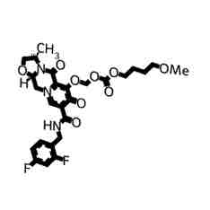 COCCCCOC(=O)OCOc1c2n(cc(C(=O)NCc3ccc(F)cc3F)c1=O)C[C@H]1OC[C@H](C)N1C2=O